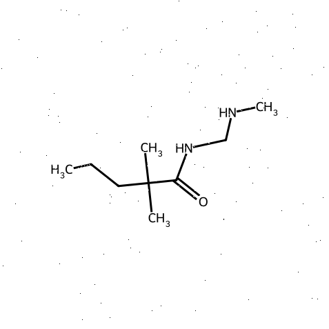 CCCC(C)(C)C(=O)NCNC